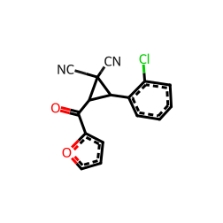 N#CC1(C#N)C(C(=O)c2ccco2)C1c1ccccc1Cl